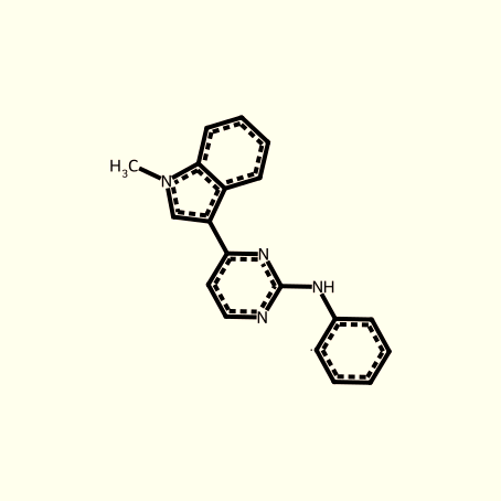 Cn1cc(-c2ccnc(Nc3[c]cccc3)n2)c2ccccc21